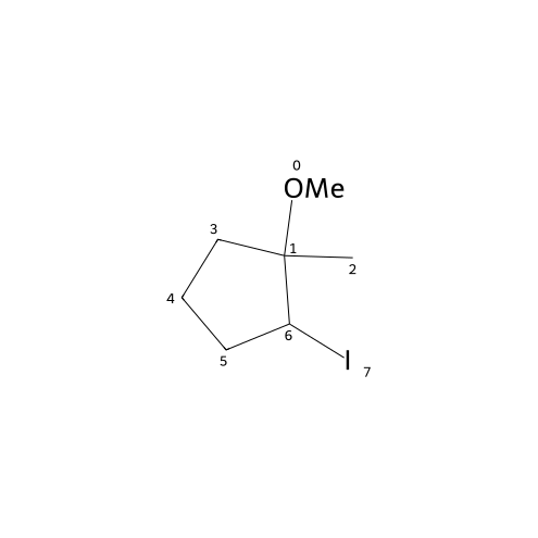 COC1(C)CCCC1I